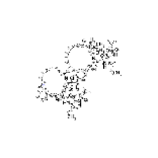 C=CC1C[C@]1(NC(=O)[C@@H]1C[C@@H]2CN1C(=O)[C@H](C(C)(C)C)NC(=O)OCCCCCCCc1cc(CC(C)(C)[C@@H]3NC(=O)OCCCCC/C=C/c4cccnc4O[C@@H]4C[C@@H](C(=O)N[C@]5(C(=O)NS(=O)(=O)C6CC6)CC5CC)N(C4)C3=O)cnc1O2)C(=O)NS(=O)(=O)C1CC1